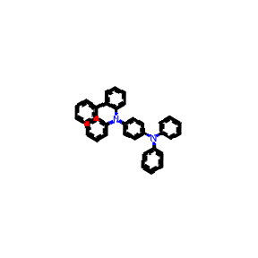 c1ccc(-c2ccccc2N(c2ccccc2)c2ccc(N(c3ccccc3)c3ccccc3)cc2)cc1